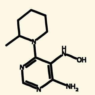 CC1CCCCN1c1ncnc(N)c1NO